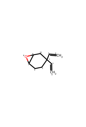 C=CC1(C=C)CCC2OC2C1